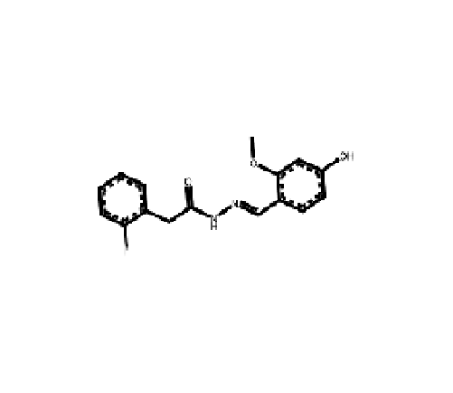 COc1cc(O)ccc1/C=N/NC(=O)Cc1ccccc1F